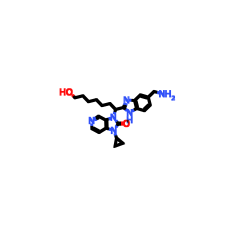 NCc1ccc2[nH]c(C(CCCCCCO)n3c(=O)n(C4CC4)c4ccncc43)nc2c1